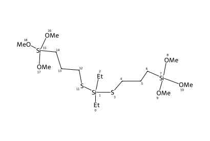 CC[Si](CC)(SCCC[Si](OC)(OC)OC)SCCC[Si](OC)(OC)OC